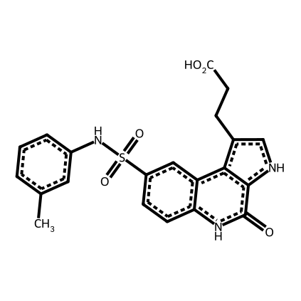 Cc1cccc(NS(=O)(=O)c2ccc3[nH]c(=O)c4[nH]cc(CCC(=O)O)c4c3c2)c1